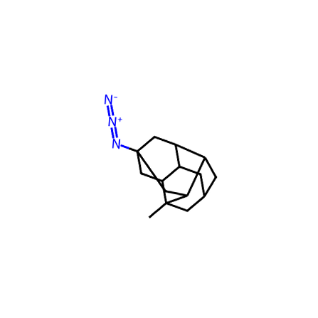 CC12CC3CC4C5CC(N=[N+]=[N-])(CC41)CC2C5C3